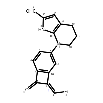 CC/C=C1/C(=O)c2ccc(N3CCCc4cc(C=O)[nH]c43)cc21